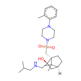 Cc1ccccc1N1CCN(S(=O)(=O)C[C@@]23CC[C@@H](C[C@]2(O)CNCC(C)C)C3(C)C)CC1